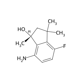 CC1(C)C[C@@](C)(O)c2c(N)ccc(F)c21